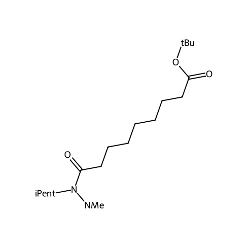 CCCC(C)N(NC)C(=O)CCCCCCCC(=O)OC(C)(C)C